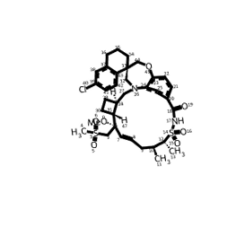 CO[C@@]1(CS(C)(=O)=O)/C=C/C[C@H](C)[C@@H](C)S(=O)(=O)NC(=O)c2ccc3c(c2)N(C[C@@H]2CC[C@H]21)C[C@@]1(CCCc2cc(Cl)ccc21)CO3